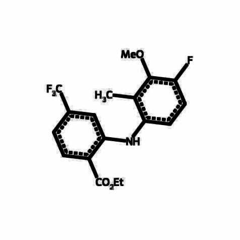 CCOC(=O)c1ccc(C(F)(F)F)cc1Nc1ccc(F)c(OC)c1C